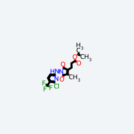 CC1=C(CCC(=O)OC(C)C)C(=O)N(Nc2ccc(C(F)(F)F)c(Cl)n2)C1=O